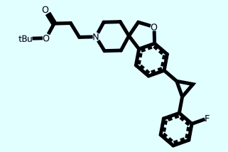 CC(C)(C)OC(=O)CCN1CCC2(CC1)COc1cc(C3CC3c3ccccc3F)ccc12